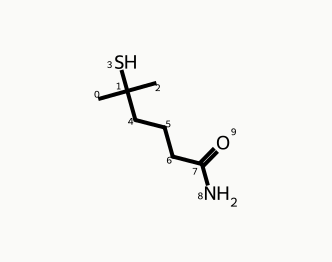 CC(C)(S)CCCC(N)=O